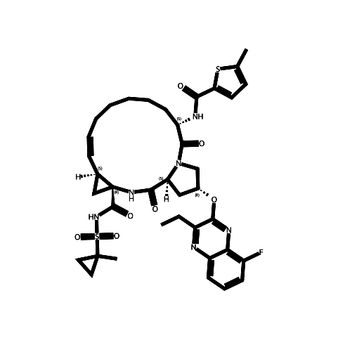 CCc1nc2cccc(F)c2nc1O[C@@H]1C[C@H]2C(=O)N[C@]3(C(=O)NS(=O)(=O)C4(C)CC4)C[C@H]3C=CCCCCC[C@H](NC(=O)c3ccc(C)s3)C(=O)N2C1